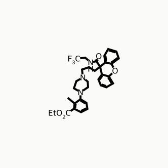 CCOC(=O)c1cccc(N2CCN(CCCC3(C(=O)NCC(F)(F)F)c4ccccc4Oc4ccccc43)CC2)c1C